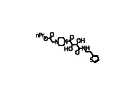 CCCOC(=O)CN1CCN(C(=O)[C@H](O)[C@@H](O)C(=O)NCCc2cccs2)CC1